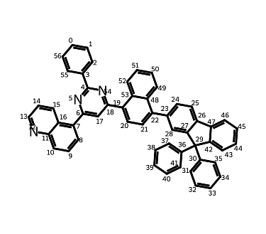 c1ccc(-c2nc(-c3cccc4ncccc34)cc(-c3ccc(-c4ccc5c(c4)C(c4ccccc4)(c4ccccc4)c4ccccc4-5)c4ccccc34)n2)cc1